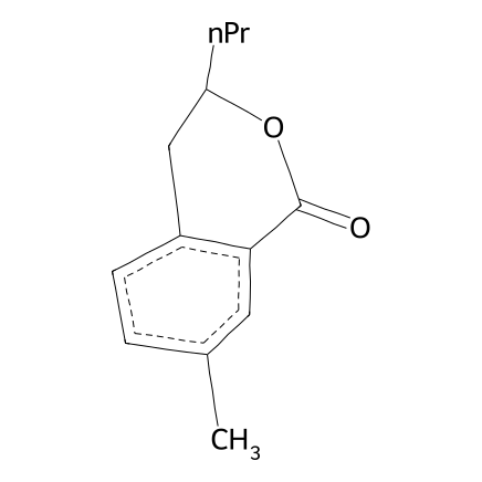 CCCC1Cc2ccc(C)cc2C(=O)O1